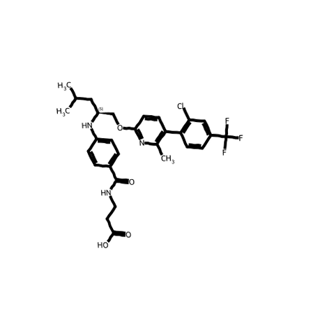 Cc1nc(OC[C@H](CC(C)C)Nc2ccc(C(=O)NCCC(=O)O)cc2)ccc1-c1ccc(C(F)(F)F)cc1Cl